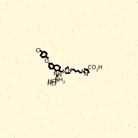 Cl.Cl.Nc1nc2c(c(N3CCN(CCCCn4cc(C(=O)O)cn4)CC3)n1)CCc1cc(OCc3ccc(Cl)cc3)ccc1-2